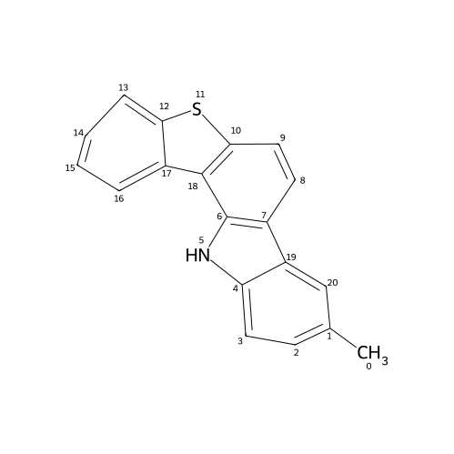 Cc1ccc2[nH]c3c(ccc4sc5ccccc5c43)c2c1